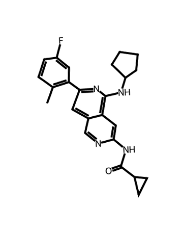 Cc1ccc(F)cc1-c1cc2cnc(NC(=O)C3CC3)cc2c(NC2CCCC2)n1